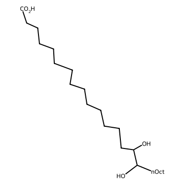 CCCCCCCCC(O)C(O)CCCCCCCCCCCCCC(=O)O